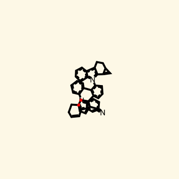 N#CC1=CC=CCC1c1cccc(-n2c3c(c4ccccc42)CCC2C=C32)c1-c1ccccc1-n1c2c(c3ccccc31)C=CCC2